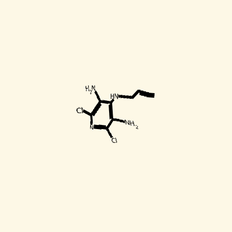 C=CCNc1c(N)c(Cl)nc(Cl)c1N